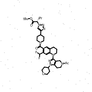 CC(=O)N1CCc2c(c(N3CCCc4cc(C(=O)N5CCC(c6cn([C@H](C(=O)OC(C)(C)C)C(C)C)nn6)CC5)c(C(F)F)cc43)nn2C2CCOCC2)C1